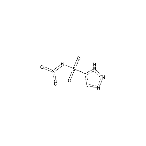 O=S(=O)=NS(=O)(=O)c1nnn[nH]1